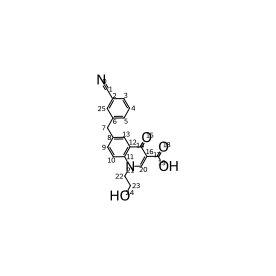 N#Cc1cccc(Cc2ccc3c(c2)c(=O)c(C(=O)O)cn3CCO)c1